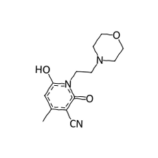 Cc1cc(O)n(CCN2CCOCC2)c(=O)c1C#N